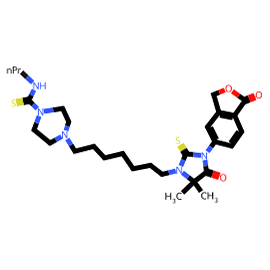 CCCNC(=S)N1CCN(CCCCCCCN2C(=S)N(c3ccc4c(c3)COC4=O)C(=O)C2(C)C)CC1